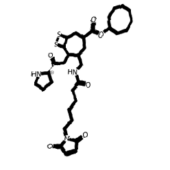 O=C(CCCCCN1C(=O)C=CC1=O)NCC1CC(C(=O)OC2CCCCCCC2)CC2SSC2C1CC(=O)[C@@H]1CCCN1